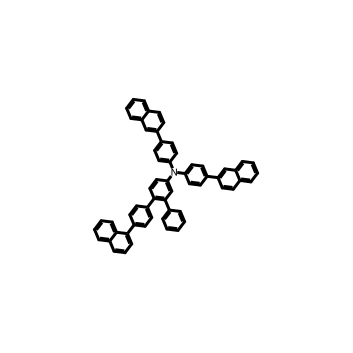 c1ccc(-c2cc(N(c3ccc(-c4ccc5ccccc5c4)cc3)c3ccc(-c4ccc5ccccc5c4)cc3)ccc2-c2ccc(-c3cccc4ccccc34)cc2)cc1